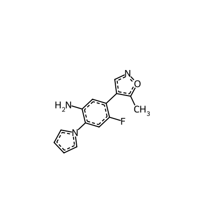 Cc1oncc1-c1cc(N)c(-n2cccc2)cc1F